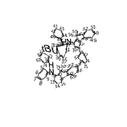 CC(C)(C)c1ccc(-c2ccccc2Nc2cccc3c2C(C)(C)c2cc(-c4cccc(-c5cc(Nc6ccccc6-c6ccccc6)c6c(c5)-c5ccccc5C6(C)C)c4)ccc2-3)cc1